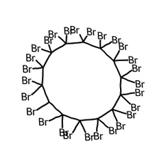 BrC1C(Br)(Br)C(Br)(Br)C(Br)(Br)C(Br)(Br)C(Br)(Br)C(Br)(Br)C(Br)(Br)C(Br)(Br)C(Br)(Br)C(Br)(Br)C(Br)(Br)C(Br)(Br)C1(Br)Br